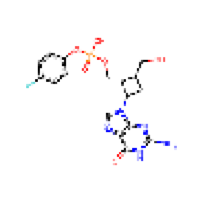 Nc1nc2c(ncn2[C@@H]2C[C@H](CO)[C@H]2COP(=O)(O)Oc2ccc(F)cc2)c(=O)[nH]1